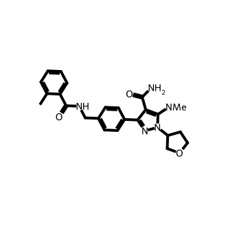 CNc1c(C(N)=O)c(-c2ccc(CNC(=O)c3ccccc3C)cc2)nn1C1CCOC1